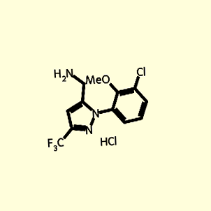 COc1c(Cl)cccc1-n1nc(C(F)(F)F)cc1CN.Cl